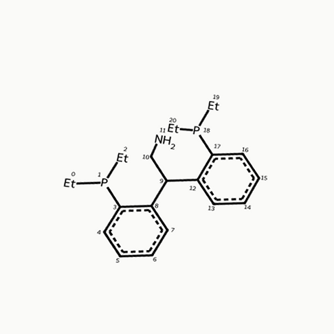 CCP(CC)c1ccccc1C(CN)c1ccccc1P(CC)CC